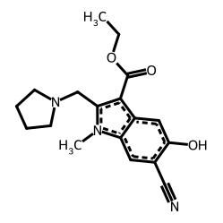 CCOC(=O)c1c(CN2CCCC2)n(C)c2cc(C#N)c(O)cc12